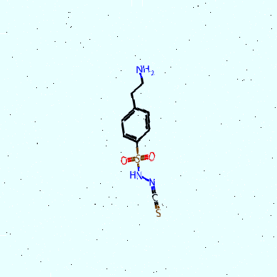 NCCc1ccc(S(=O)(=O)NN=C=S)cc1